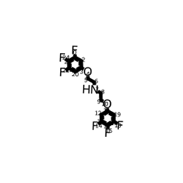 Fc1cc(OCCNCCOc2cc(F)c(F)c(F)c2)cc(F)c1F